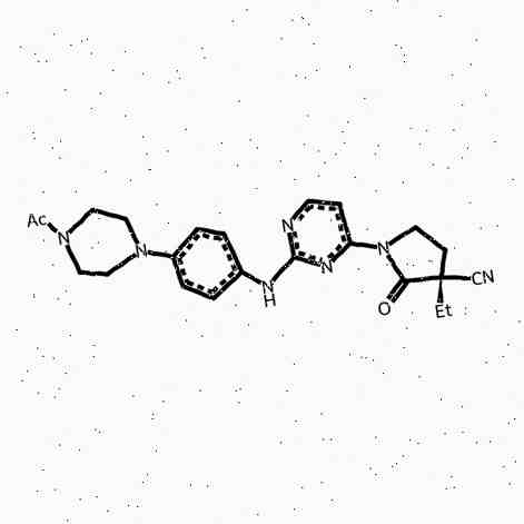 CC[C@]1(C#N)CCN(c2ccnc(Nc3ccc(N4CCN(C(C)=O)CC4)cc3)n2)C1=O